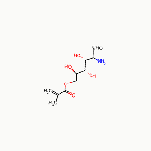 C=C(C)C(=O)OC[C@@H](O)[C@@H](O)[C@H](O)[C@@H](N)C=O